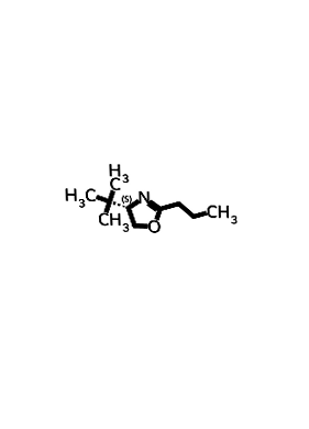 CCCC1=N[C@@H](C(C)(C)C)CO1